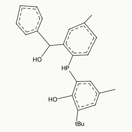 Cc1ccc(Pc2cc(C)cc(C(C)(C)C)c2O)c(C(O)c2ccccc2)c1